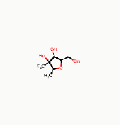 C[C@@H]1O[C@H](CO)[C@@H](O)[C@]1(O)C(F)(F)F